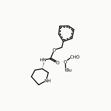 CC(C)(C)OC=O.O=C(N[C@H]1CCCNC1)OCc1ccccc1